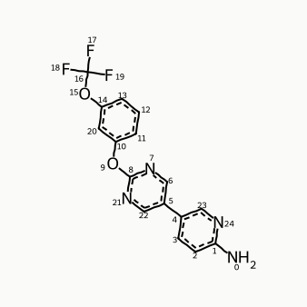 Nc1ccc(-c2cnc(Oc3cccc(OC(F)(F)F)c3)nc2)cn1